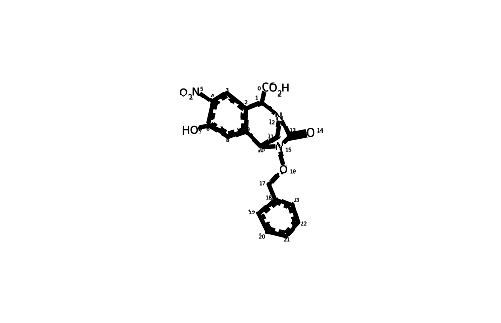 O=C(O)C1c2cc([N+](=O)[O-])c(O)cc2C2CN1C(=O)N2OCc1ccccc1